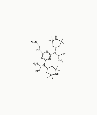 CCCC(N)N(c1nc(NCNC)nc(N(C(N)CCC)C2CC(C)(C)NC(C)(C)C2)n1)C1CC(C)(C)NC(C)(C)C1